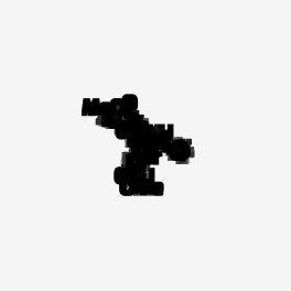 COC(=O)CCNCC(NC(=O)OCc1ccccc1)c1nc(-c2ccc(NC(=O)OC)cc2Br)cn1COCC[Si](C)(C)C